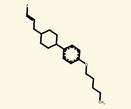 CCCCCOc1ccc(C2CCC(CC=CF)CC2)cc1